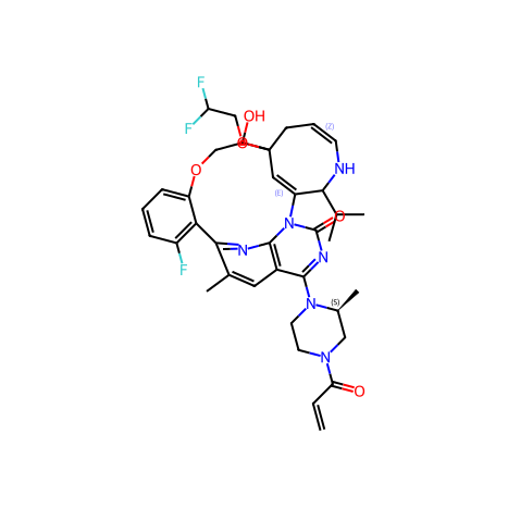 C=CC(=O)N1CCN(c2nc(=O)n3c4nc(c(C)cc24)-c2c(F)cccc2OCC(O)C2(OCC(F)F)/C=C/3C(C(C)C)N/C=C\C2)[C@@H](C)C1